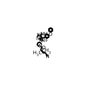 CC(C)(C=CC#N)CC(=O)N1CCCC(n2nc(-c3ccc(Oc4ccccc4)cc3F)c3c(N)ncnc32)C1